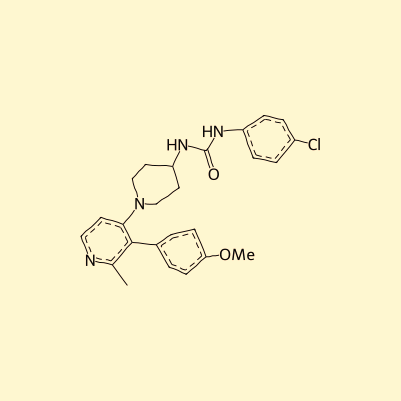 COc1ccc(-c2c(N3CCC(NC(=O)Nc4ccc(Cl)cc4)CC3)ccnc2C)cc1